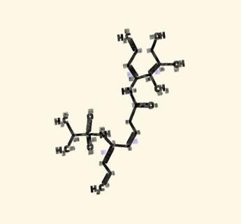 C=C/C=C(\C=C/CC(=O)NC(=C/C=C)/C(C)=C(/O)CO)NS(=O)(=O)C(C)C